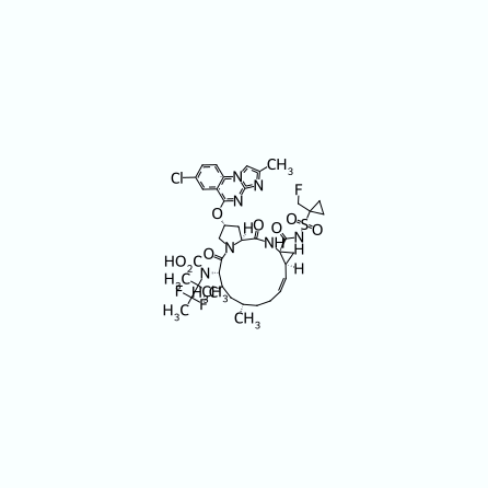 Cc1cn2c(n1)nc(O[C@@H]1C[C@H]3C(=O)N[C@]4(C(=O)NS(=O)(=O)C5(CF)CC5)C[C@H]4/C=C\CC[C@H](C)C[C@@H](C)[C@H](N(C(=O)O)C(C)(C)C(C)(F)F)C(=O)N3C1)c1cc(Cl)ccc12